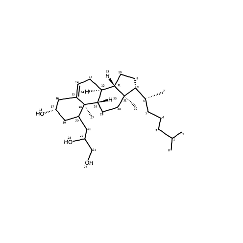 CC(C)CCC[C@@H](C)[C@H]1CC[C@H]2[C@@H]3CC=C4C[C@@H](O)CC(CC(O)CO)[C@]4(C)[C@H]3CC[C@]12C